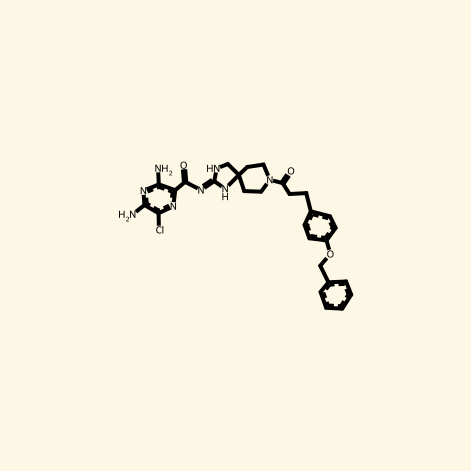 Nc1nc(N)c(C(=O)/N=C2\NCC3(CCN(C(=O)CCc4ccc(OCc5ccccc5)cc4)CC3)N2)nc1Cl